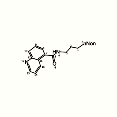 CCCCCCCCCCCCNC(=O)c1cccc2ncccc12